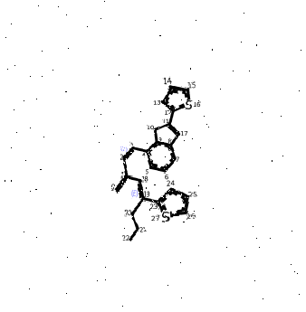 C=C(/C=C\c1cccc2c1CC(c1cccs1)=C2)/C=C(\CCC)c1cccs1